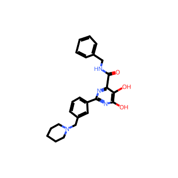 O=C(NCc1ccccc1)c1nc(-c2cccc(CN3CCCCC3)c2)nc(O)c1O